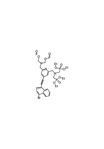 CCOP(=O)(CN(Cc1cc(C#Cc2ccc(Br)c3ccccc23)cc(CN(COP=O)COP=O)n1)CP(=O)(OCC)OCC)OCC